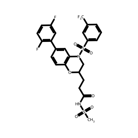 CS(=O)(=O)NC(=O)CCC1CN(S(=O)(=O)c2cccc(C(F)(F)F)c2)c2cc(-c3cc(F)ccc3F)ccc2O1